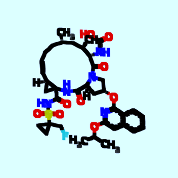 CC(C)Oc1cc2ccccc2c(O[C@@H]2C[C@H]3C(=O)NC4(C(=O)NS(=O)(=O)C5(CF)CC5)C[C@H]4/C=C\CC[C@H](C)C[C@@H](C)[C@H](NC(=O)O)C(=O)N3C2)n1